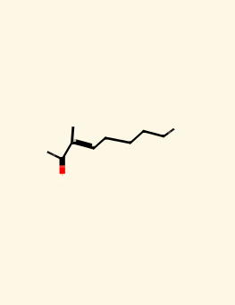 CCC(=O)/C(C)=C/CCCCC(=O)O